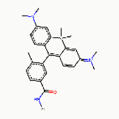 CCNC(=O)c1ccc(C)c(C2=C3C=CC(=[N+](C)C)C=C3[Si](C)(C)c3cc(N(C)C)ccc32)c1